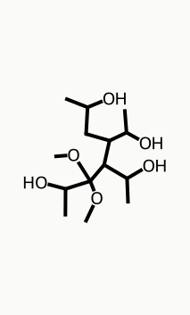 COC(OC)(C(C)O)C(C(C)O)C(CC(C)O)C(C)O